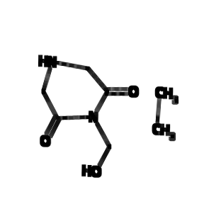 CC.O=C1CNCC(=O)N1CO